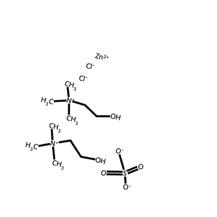 C[N+](C)(C)CCO.C[N+](C)(C)CCO.O=S(=O)([O-])[O-].[Cl-].[Cl-].[Zn+2]